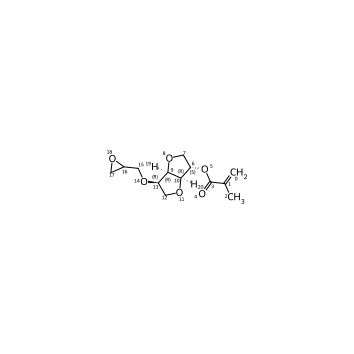 C=C(C)C(=O)O[C@H]1CO[C@H]2[C@@H]1OC[C@H]2OCC1CO1